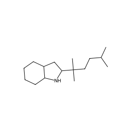 CC(C)CCC(C)(C)C1CC2CCCCC2N1